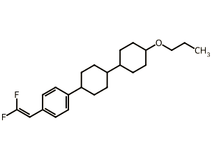 CCCOC1CCC(C2CCC(c3ccc(C=C(F)F)cc3)CC2)CC1